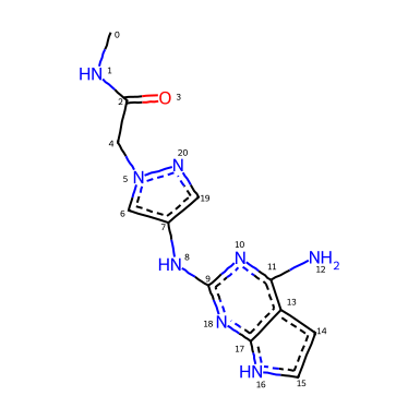 CNC(=O)Cn1cc(Nc2nc(N)c3cc[nH]c3n2)cn1